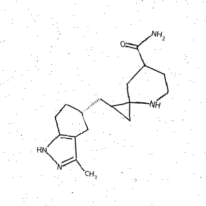 Cc1n[nH]c2c1C[C@@H](CC1CC13CC(C(N)=O)CCN3)CC2